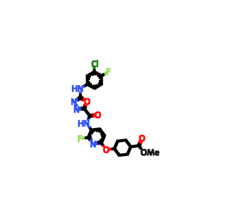 COC(=O)C1CCC(Oc2ccc(NC(=O)c3nnc(Nc4ccc(F)c(Cl)c4)o3)c(F)n2)CC1